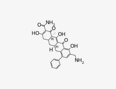 C[C@@]12C(=O)C(C(N)=O)=C(O)CC1C[C@@H]1Cc3c(-c4ccccc4)cc(CN)c(O)c3C(=O)C1=C2O